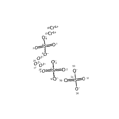 O=S(=O)([O-])[O-].O=S(=O)([O-])[O-].O=S(=O)([O-])[O-].[Cr+6].[Cr+6].[O-2].[O-2].[O-2]